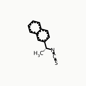 C[C@@H](N=C=S)c1ccc2ccccc2c1